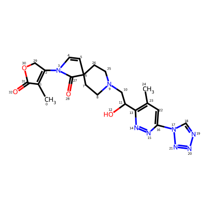 CC1=C(N2C=CC3(CCN(CC(O)c4nnc(-n5cnnn5)cc4C)CC3)C2=O)COC1=O